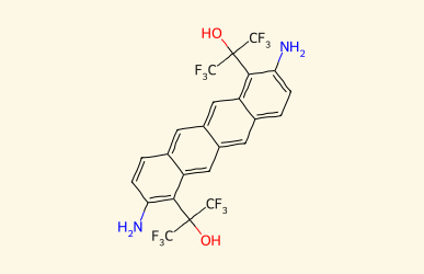 Nc1ccc2cc3cc4c(C(O)(C(F)(F)F)C(F)(F)F)c(N)ccc4cc3cc2c1C(O)(C(F)(F)F)C(F)(F)F